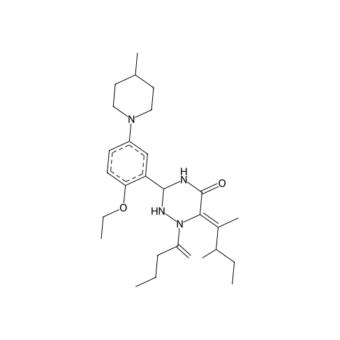 C=C(CCC)N1NC(c2cc(N3CCC(C)CC3)ccc2OCC)NC(=O)/C1=C(\C)C(C)CC